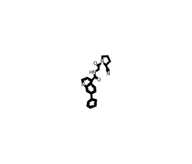 N#CC1CCCN1C(=O)CNC(=O)c1ccnc2cc(-c3ccccc3)ccc12